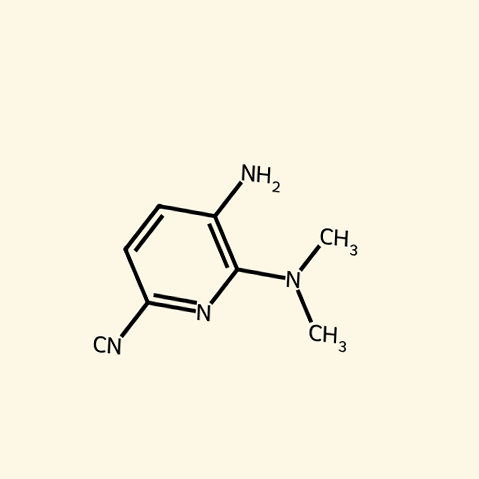 [C-]#[N+]c1ccc(N)c(N(C)C)n1